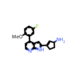 COc1ccc(F)cc1-c1ccnc2[nH]c(C3=CC(N)CC3)cc12